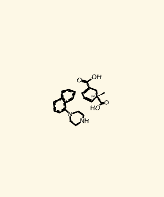 C[C@@]1(C(=O)O)C=CC=C(C(=O)O)C1.c1ccc2c(N3CCNCC3)cccc2c1